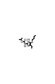 CCCCSc1[nH]c(NC(=O)OC(C)C)nc1CC